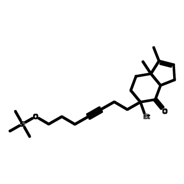 CCC1(CCC#CCCCO[Si](C)(C)C)CCC2(C)C(C)=CCC2C1=O